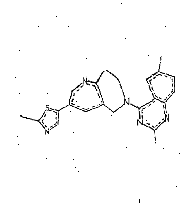 Cc1ccc2nc(C)nc(N3CCc4ncc(-c5cnc(C)s5)cc4C3)c2c1